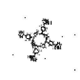 C1=Cc2nc1c(-c1ccc(-c3nnn[nH]3)cc1)c1ccc([nH]1)c(-c1ccc(-c3nnn[nH]3)cc1)c1nc(c(-c3ccc(-c4nnn[nH]4)cc3)c3ccc([nH]3)c2-c2ccc(-c3nnn[nH]3)cc2)C=C1